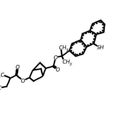 CCC(C)C(=O)OC1CC2CC1CC2C(=O)OC(C)(C)c1ccc2c(S)c3ccccc3cc2c1